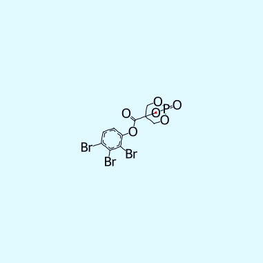 O=C(Oc1ccc(Br)c(Br)c1Br)C12COP(=O)(OC1)OC2